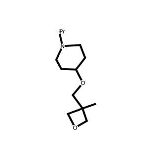 CC(C)N1CCC(OCC2(C)COC2)CC1